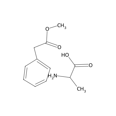 CC(N)C(=O)O.COC(=O)Cc1ccccc1